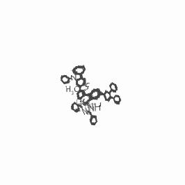 CC1(C2=NC(C3=CC=CCC3)NC(c3cc(C4=CC=C(C5C=CCCC5)C(C5=CC=CCC5)C4)ccc3-c3cccc4c3SC3=CC5C6CC=CC=C6N(C6CCCCC6)C5CC34C)=N2)C=CC=CC1